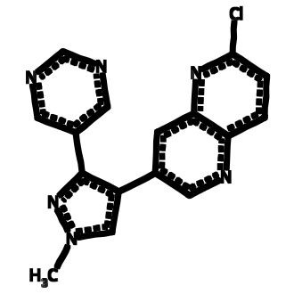 Cn1cc(-c2cnc3ccc(Cl)nc3c2)c(-c2cncnc2)n1